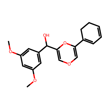 COc1cc(OC)cc(C(O)C2=COC=C(C3=CC=CCC3)O2)c1